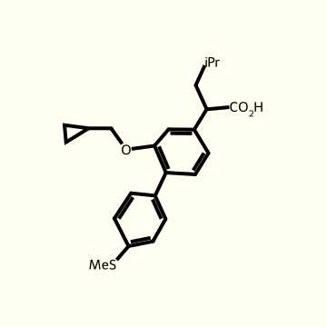 CSc1ccc(-c2ccc(C(CC(C)C)C(=O)O)cc2OCC2CC2)cc1